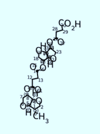 C[C@H]1CO[C@H]2[C@@H]1OC[C@@H]2OC(=O)CCC(=O)O[C@H]1CO[C@H]2[C@@H]1OC[C@@H]2OC(=O)CCC(=O)O